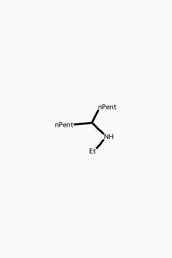 CCCCCC(CCCCC)NCC